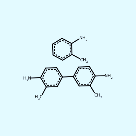 Cc1cc(-c2ccc(N)c(C)c2)ccc1N.Cc1ccccc1N